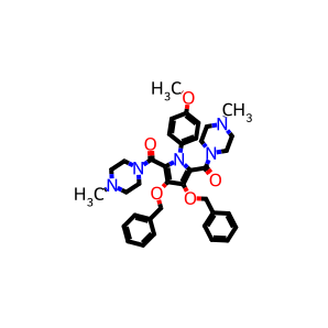 COc1ccc(-n2c(C(=O)N3CCN(C)CC3)c(OCc3ccccc3)c(OCc3ccccc3)c2C(=O)N2CCN(C)CC2)cc1